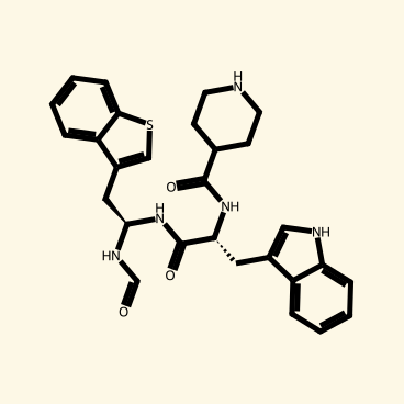 O=CN[C@@H](Cc1csc2ccccc12)NC(=O)[C@@H](Cc1c[nH]c2ccccc12)NC(=O)C1CCNCC1